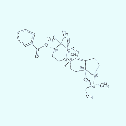 C[C@H](CO)[C@H]1CCC2=C3C=C[C@H]4C(C)(C)[C@@H](OC(=O)c5ccccc5)CC[C@]4(C)[C@H]3CC[C@@]21C